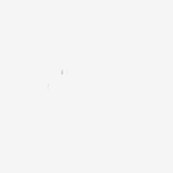 CCCCCCCC[SiH](Cl)Cc1ccccc1